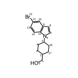 OCC1CCC(n2ccc3cc(Br)ccc32)CC1